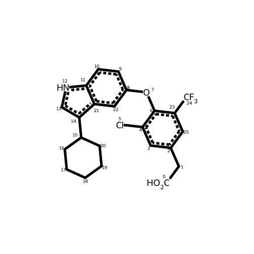 O=C(O)Cc1cc(Cl)c(Oc2ccc3[nH]cc(C4CCCCC4)c3c2)c(C(F)(F)F)c1